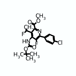 C=C(F)c1c(C(=O)OC)nc(-c2ccc(Cl)cc2)c(F)c1NC(=O)OC(C)(C)C